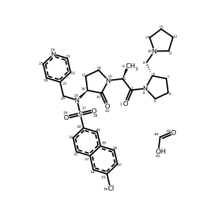 C[C@@H](C(=O)N1CCC[C@H]1CN1CCCC1)N1CC[C@H](N(Cc2ccncc2)S(=O)(=O)c2ccc3cc(Cl)ccc3c2)C1=O.O=CO